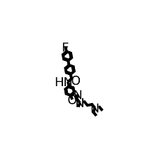 CCN(CC)CCCN(C)c1nc2cc(NC(=O)c3ccc(-c4ccc(F)cc4)cc3)ccc2o1